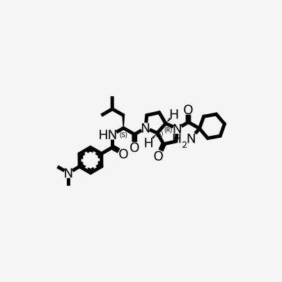 CC(C)C[C@H](NC(=O)c1ccc(N(C)C)cc1)C(=O)N1CC[C@@H]2[C@H]1C(=O)CN2C(=O)C1(N)CCCCC1